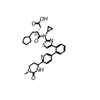 CN1CCC(c2ccc(-c3ccccc3-c3csc(N(C(=O)[C@@H](CC(=O)O)CC4CCCC4)C4CC4)n3)cn2)NC1=O